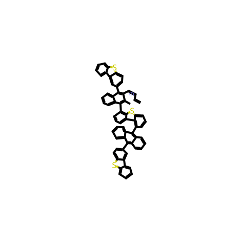 C=C/C=C\c1c(C)c(-c2cccc3c2sc2cccc(-c4c5ccccc5c(-c5ccc6sc7ccccc7c6c5)c5ccccc45)c23)c2ccccc2c1-c1ccc2sc3ccccc3c2c1